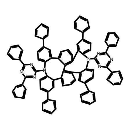 c1ccc(-c2ccc3c(c2)c2cccc4c5cc(-c6ccccc6)ccc5n(-c5nc(-c6ccccc6)nc(-c6ccccc6)n5)c5ccc(-c6ccccc6)cc5c5cccc(c6cc(-c7ccccc7)ccc6n3-c3nc(-c6ccccc6)nc(-c6ccccc6)n3)c5c24)cc1